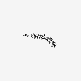 CCCCCC1COC(c2ccc(-c3ccc(CCc4cc(F)c(C(F)(F)Oc5cc(F)c(F)c(F)c5)c(F)c4)c(F)c3)c(F)c2)OC1